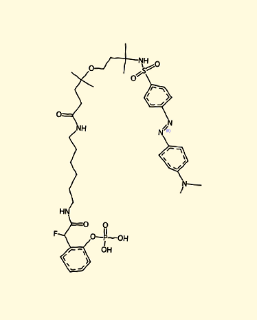 CN(C)c1ccc(/N=N/c2ccc(S(=O)(=O)NC(C)(C)CCOC(C)(C)CCC(=O)NCCCCCCNC(=O)C(F)c3ccccc3OP(=O)(O)O)cc2)cc1